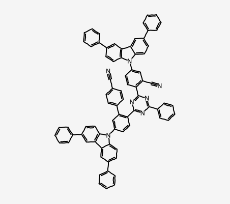 N#Cc1ccc(-c2cc(-n3c4ccc(-c5ccccc5)cc4c4cc(-c5ccccc5)ccc43)ccc2-c2nc(-c3ccccc3)nc(-c3ccc(-n4c5ccc(-c6ccccc6)cc5c5cc(-c6ccccc6)ccc54)cc3C#N)n2)cc1